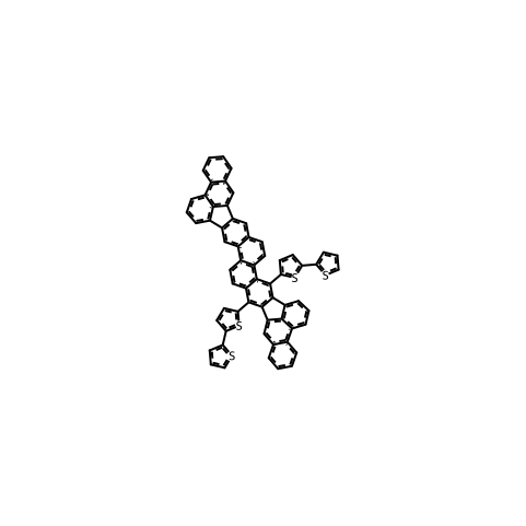 c1csc(-c2ccc(-c3c4c(c(-c5ccc(-c6cccs6)s5)c5c3ccc3c6cc7c(cc6ccc35)-c3cc5ccccc5c5cccc-7c35)-c3cccc5c3c-4cc3ccccc35)s2)c1